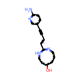 Nc1ccc(C#C/C=C/c2ncccc(O)cc[nH]2)cn1